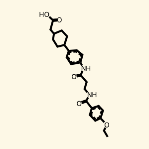 CCOc1ccc(C(=O)NCCC(=O)Nc2ccc(C3CCC(CC(=O)O)CC3)cc2)cc1